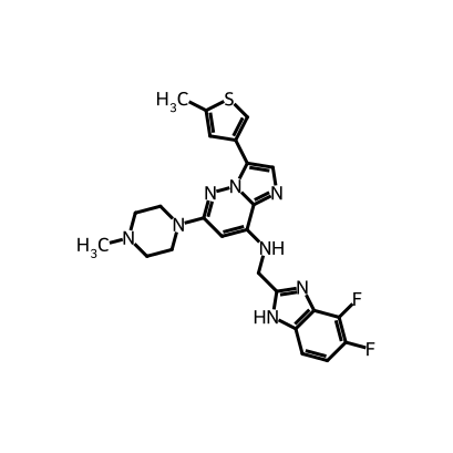 Cc1cc(-c2cnc3c(NCc4nc5c(F)c(F)ccc5[nH]4)cc(N4CCN(C)CC4)nn23)cs1